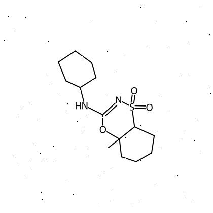 CC12CCCCC1S(=O)(=O)N=C(NC1CCCCC1)O2